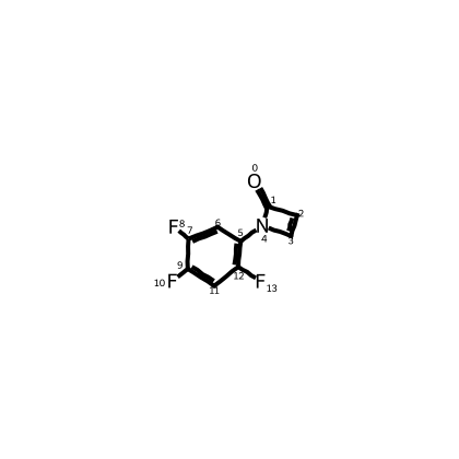 O=C1C=CN1c1cc(F)c(F)cc1F